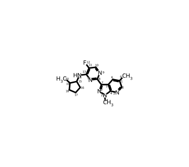 Cc1cnc2c(c1)c(-c1ncc(F)c(NC3CCCC3C)n1)nn2C